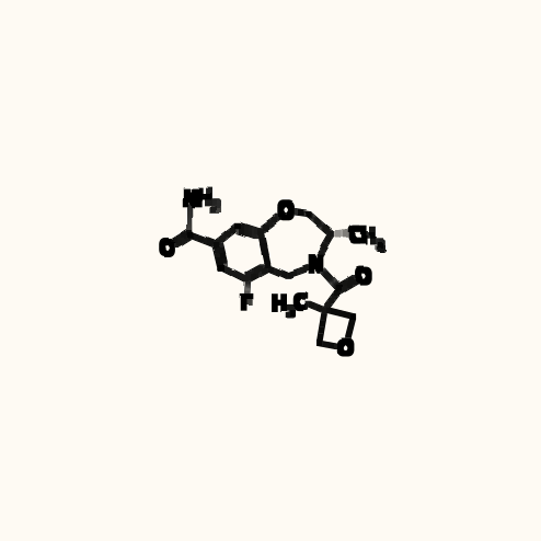 C[C@H]1COc2cc(C(N)=O)cc(F)c2CN1C(=O)C1(C)COC1